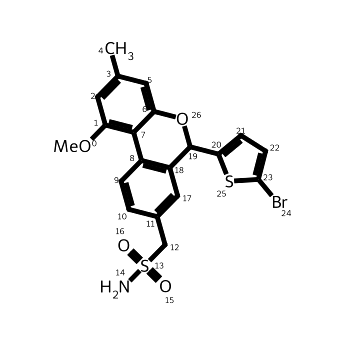 COc1cc(C)cc2c1-c1ccc(CS(N)(=O)=O)cc1C(c1ccc(Br)s1)O2